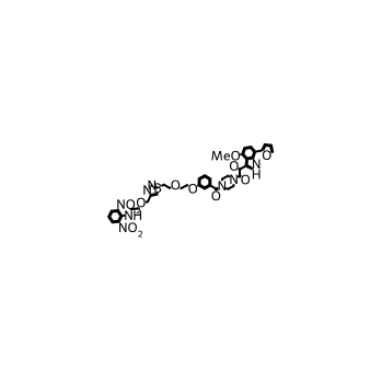 COc1ccc(-c2ccco2)c2[nH]cc(C(=O)C(=O)N3CCN(C(=O)c4cccc(OCCOCCB5C=C(COCCNc6c([N+](=O)[O-])cccc6[N+](=O)[O-])N=N5)c4)CC3)c12